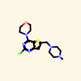 CN1CCN(Cc2cc3nc(Cl)nc(N4CCOCC4)c3s2)CC1